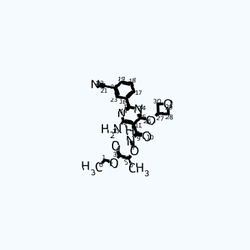 CCOC(=O)[C@H](C)ONC(=O)c1c(N)nc(-c2cccc(C#N)c2)nc1OC1COC1